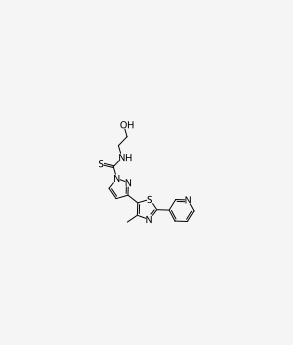 Cc1nc(-c2cccnc2)sc1-c1ccn(C(=S)NCCO)n1